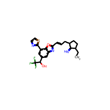 CCC1CCC(C/C=C/c2nc3cc(C(O)C(F)(F)F)cc(-c4nccs4)c3o2)C1=N